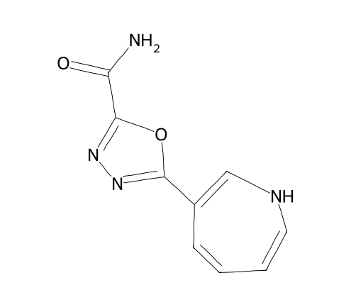 NC(=O)c1nnc(C2=CNC=CC=C2)o1